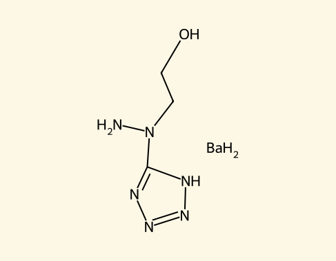 NN(CCO)c1nnn[nH]1.[BaH2]